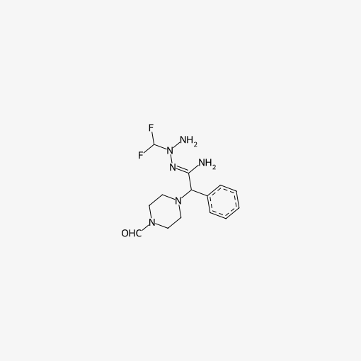 N/C(=N\N(N)C(F)F)C(c1ccccc1)N1CCN(C=O)CC1